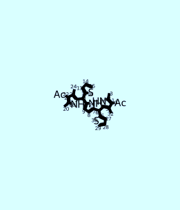 CC(=O)c1c(C)[nH]c(C(c2ccc(C(c3cccs3)c3[nH]c(C)c(C(C)=O)c3C)[nH]2)c2cccs2)c1C